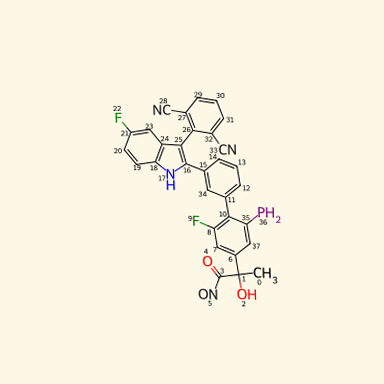 CC(O)(C(=O)N=O)c1cc(F)c(-c2cccc(-c3[nH]c4ccc(F)cc4c3-c3c(C#N)cccc3C#N)c2)c(P)c1